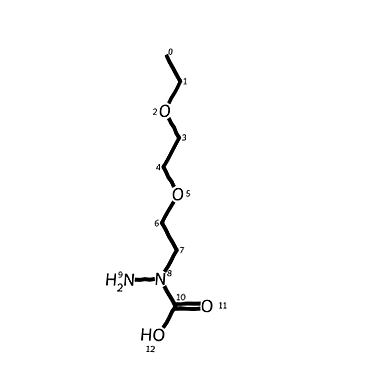 CCOCCOCCN(N)C(=O)O